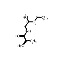 C=C(C)C(=O)NCC(O)OCC